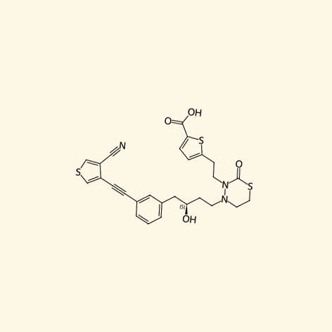 N#Cc1cscc1C#Cc1cccc(C[C@H](O)CCN2CCSC(=O)N2CCc2ccc(C(=O)O)s2)c1